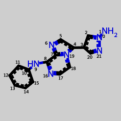 Nn1cc(-c2cnc3c(Nc4ccccc4)nccn23)cn1